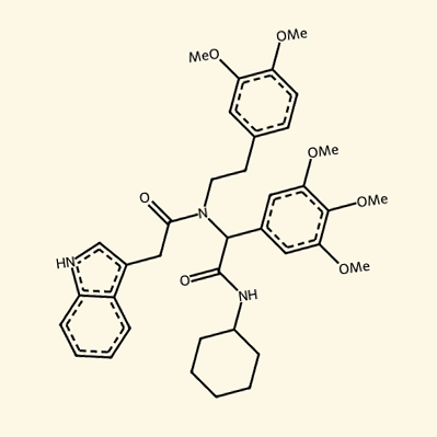 COc1ccc(CCN(C(=O)Cc2c[nH]c3ccccc23)C(C(=O)NC2CCCCC2)c2cc(OC)c(OC)c(OC)c2)cc1OC